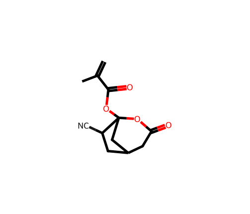 C=C(C)C(=O)OC12CC(CC(=O)O1)CC2C#N